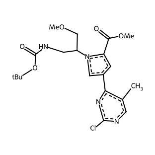 COCC(CNC(=O)OC(C)(C)C)n1cc(-c2nc(Cl)ncc2C)cc1C(=O)OC